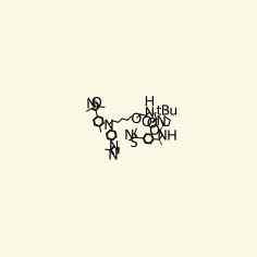 Cc1ccc(-c2c(C)noc2C)cc1N(CCCCCOCC(=O)N[C@H](C(=O)N1CCC[C@H]1C(=O)N[C@@H](C)c1ccc(-c2scnc2C)cc1)C(C)(C)C)c1ccc(-n2ccnc2C)cc1